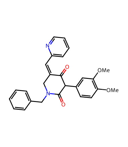 COc1ccc(C2C(=O)/C(=C\c3ccccn3)CN(Cc3ccccc3)C2=O)cc1OC